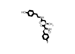 CN(CC(=O)NCCc1ccc(O)cc1)C(=O)[C@H](Cc1ccc(F)cc1)NCl